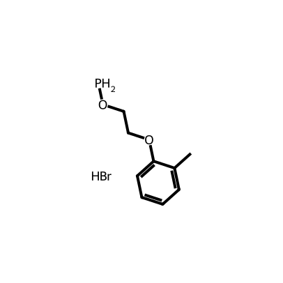 Br.Cc1ccccc1OCCOP